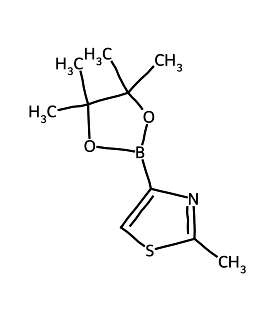 Cc1nc(B2OC(C)(C)C(C)(C)O2)cs1